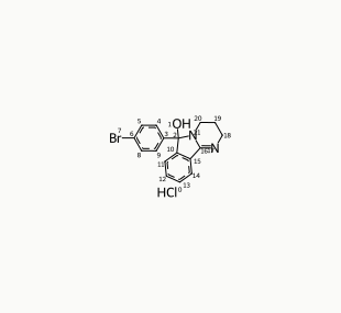 Cl.OC1(c2ccc(Br)cc2)c2ccccc2C2=NCCCN21